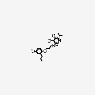 CCCc1cc(OC)ccc1OCCCNc1cnn(C(C)C)c(=O)c1Cl